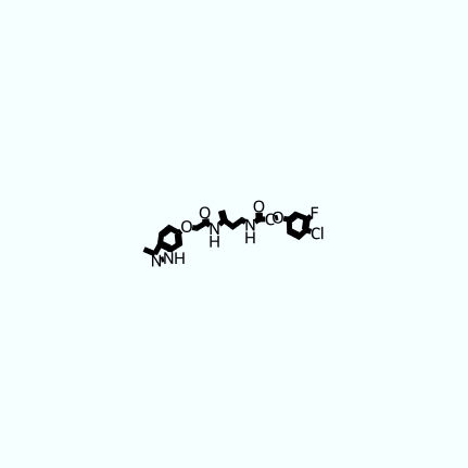 C=C(CCNC(=O)COc1ccc(Cl)c(F)c1)NC(=O)COc1ccc2c(C)n[nH]c2c1